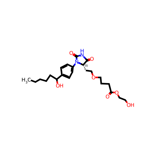 CCCCCC(O)c1ccc(N2C(=O)NC(=O)[C@@H]2CCOCCCC(=O)OCCO)cc1